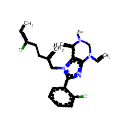 C=CN1CN(CCCC)C(=C)c2c1nc(-c1ccccc1Cl)n2CC(=C)CC/C(Cl)=C\C